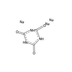 O=c1[nH]c(=O)[nH]c(=O)[nH]1.[Na].[Na].[Na]